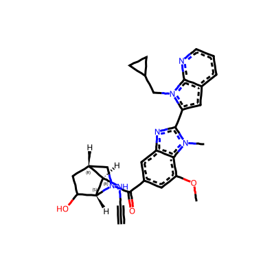 C#CN[C@@H]1[C@@H]2CC(O)[C@H]1N(C(=O)c1cc(OC)c3c(c1)nc(-c1cc4cccnc4n1CC1CC1)n3C)C2